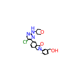 O=C1c2cc(-c3nc(NC4CCOCC4)ncc3Cl)ccc2CN1c1[c]ccc(CO)c1